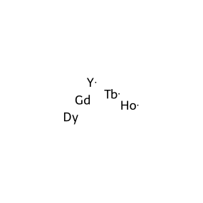 [Dy].[Gd].[Ho].[Tb].[Y]